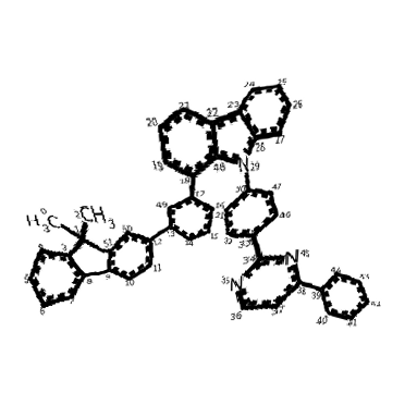 CC1(C)c2ccccc2-c2ccc(-c3cccc(-c4cccc5c6ccccc6n(-c6ccc(-c7nccc(-c8ccccc8)n7)cc6)c45)c3)cc21